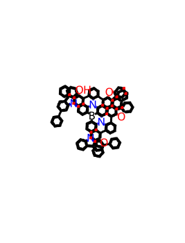 Oc1c(-c2ccccc2)cccc1-c1cccc(-c2cccc3c2oc2ccccc23)c1N1c2cc(-n3c4ccccc4c4ccc(-c5ccccc5)cc43)ccc2B2c3ccc(-n4c5ccccc5c5ccc(-c6ccccc6)cc54)cc3N(c3c(-c4cccc5c4oc4ccccc45)cccc3-c3cccc4c3oc3ccccc34)c3cc(-c4ccc5ccccc5c4)cc1c32